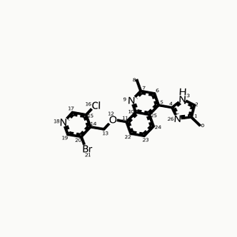 Cc1c[nH]c(-c2cc(C)nc3c(OCc4c(Cl)cncc4Br)cccc23)n1